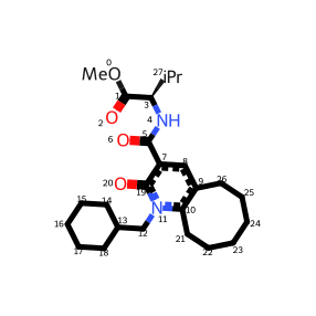 COC(=O)[C@H](NC(=O)c1cc2c(n(CC3CCCCC3)c1=O)CCCCCC2)C(C)C